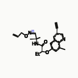 C#Cc1cnc2c(C)cc(OC(CC)C(=O)NC(C)(C)/C=N\OCC=C)cc2c1